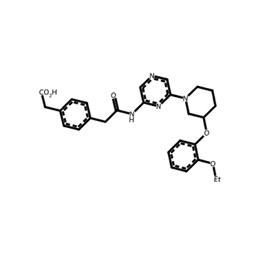 CCOc1ccccc1OC1CCCN(c2cncc(NC(=O)Cc3ccc(CC(=O)O)cc3)n2)C1